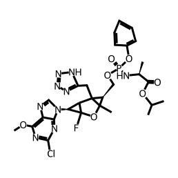 COc1nc(Cl)nc2c1ncn2[C@H]1C2C1(F)OC1(C)[C@H](COP(=O)(N[C@@H](C)C(=O)OC(C)C)Oc3ccccc3)C21Cc1nnn[nH]1